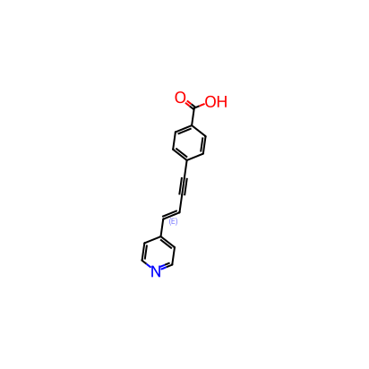 O=C(O)c1ccc(C#C/C=C/c2ccncc2)cc1